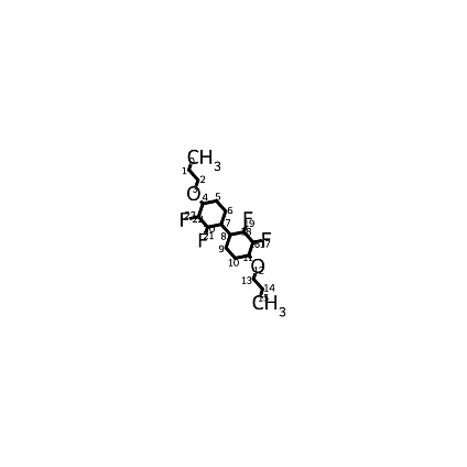 CCCOC1CCC(C2CCC(OCCC)C(F)C2F)C(F)C1F